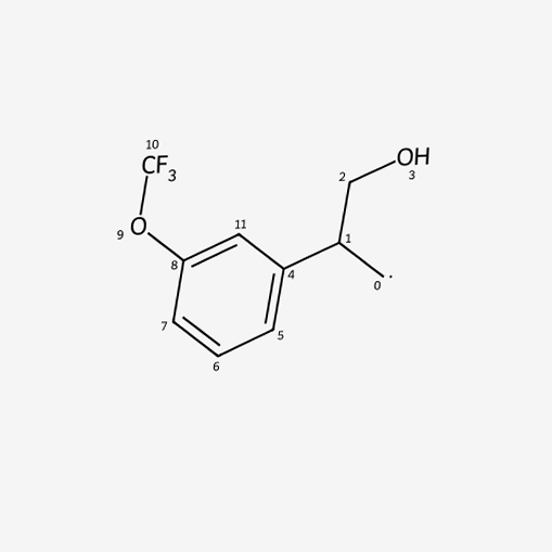 [CH2]C(CO)c1cccc(OC(F)(F)F)c1